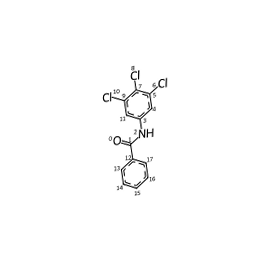 O=C(Nc1cc(Cl)c(Cl)c(Cl)c1)c1ccccc1